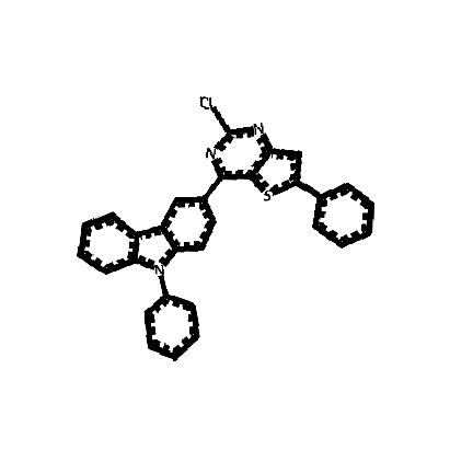 Clc1nc(-c2ccc3c(c2)c2ccccc2n3-c2ccccc2)c2sc(-c3ccccc3)cc2n1